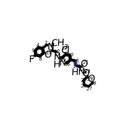 CN(Cc1ccc(F)cc1)C(=O)CNc1ncc(/C=C/C(=O)NOC2CCCCO2)cc1Cl